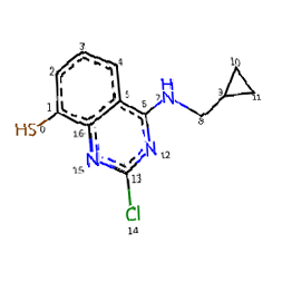 Sc1cccc2c(NCC3CC3)nc(Cl)nc12